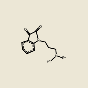 CC(C)N(CCCN1C(=O)C(=O)c2ccccc21)C(C)C